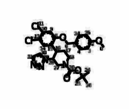 COc1ccc(COc2cc(Cl)c(Cl)cc2C2CCN(C(=O)OC(C)(C)C)CC2n2ccnn2)cc1